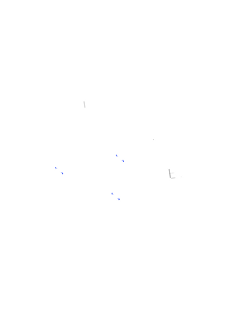 CCc1nc(C)nn1C(C)(C)CC